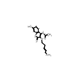 CCC=CCCOc1c(OC(C)=O)c2ccc(O)cc2oc1=O